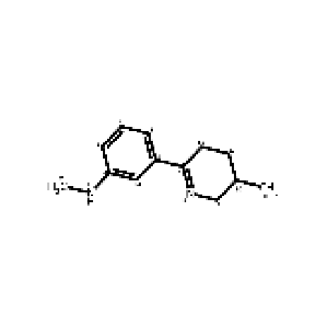 CNc1cccc(C2=NCC(C)CC2)c1